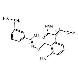 CNC(=O)/C(=N/OC)c1cccc(C)c1CO/N=C(\C)c1cccc([SiH2]C)c1